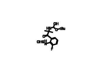 CC(C)(C)OC(O)NC(C)(C)C(=O)c1cccc(F)c1NC=O